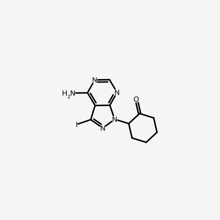 Nc1ncnc2c1c(I)nn2C1CCCCC1=O